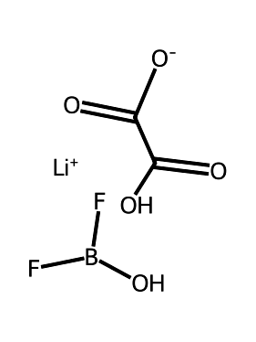 O=C([O-])C(=O)O.OB(F)F.[Li+]